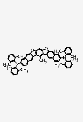 Cc1cccc(C)c1N(c1ccc2cc3c(cc2c1)oc1cc2oc4cc5cc(N(c6c(C)cccc6C)c6c(C)cccc6C)ccc5cc4c2c(C)c13)c1c(C)cccc1C